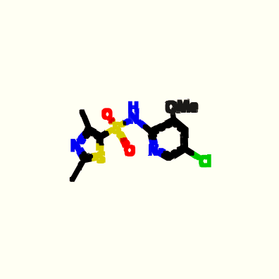 COc1cc(Cl)cnc1NS(=O)(=O)c1sc(C)nc1C